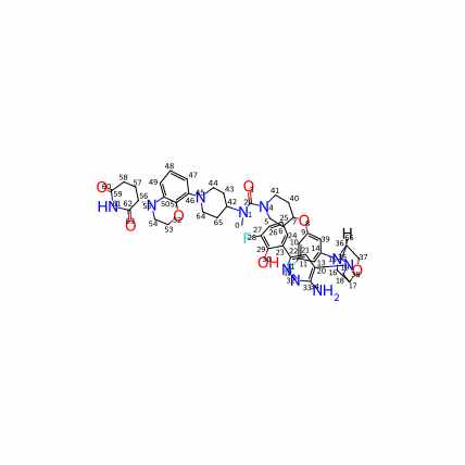 CN(C(=O)N1CCC(Oc2cc(F)cc(N3CC4CN(c5cc(-c6cccc(F)c6O)nnc5N)C[C@H]3CO4)c2)CC1)C1CCN(c2cccc3c2OCCN3[C@H]2CCC(=O)NC2=O)CC1